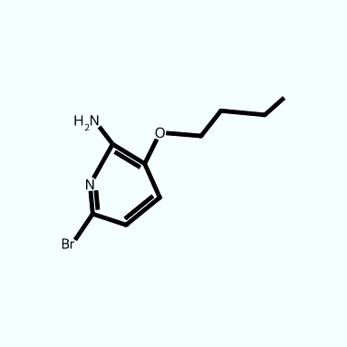 CCCCOc1ccc(Br)nc1N